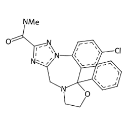 CNC(=O)c1nc2n(n1)-c1ccc(Cl)cc1C1(c3ccccc3)OCCN1C2